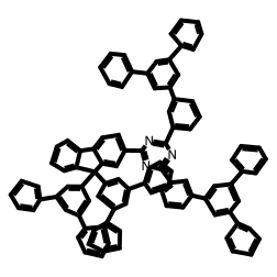 c1ccc(-c2cc(-c3ccccc3)cc(-c3cccc(-c4nc(-c5cccc(-c6cc(-c7ccccc7)cc(-c7ccccc7)c6)c5)nc(-c5ccc6c(c5)C(c5cc(-c7ccccc7)cc(-c7ccccc7)c5)(c5cc(-c7ccccc7)cc(-c7ccccc7)c5)c5ccccc5-6)n4)c3)c2)cc1